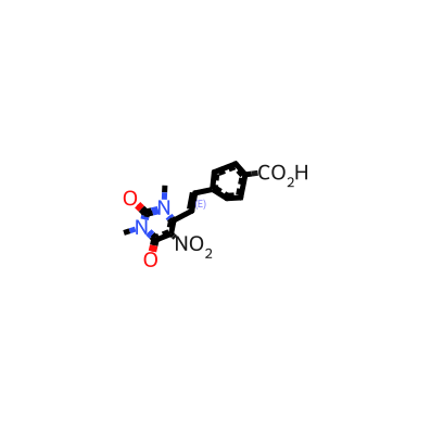 Cn1c(/C=C/c2ccc(C(=O)O)cc2)c([N+](=O)[O-])c(=O)n(C)c1=O